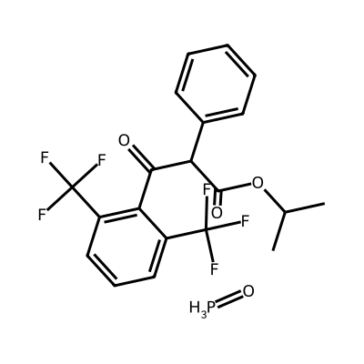 CC(C)OC(=O)C(C(=O)c1c(C(F)(F)F)cccc1C(F)(F)F)c1ccccc1.O=[PH3]